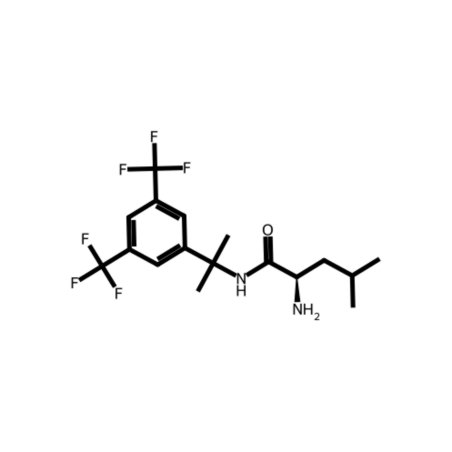 CC(C)C[C@@H](N)C(=O)NC(C)(C)c1cc(C(F)(F)F)cc(C(F)(F)F)c1